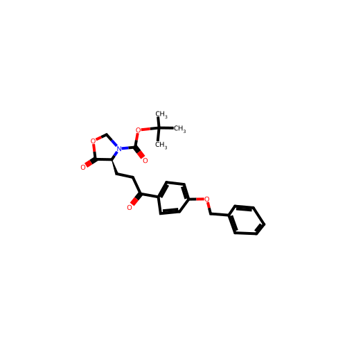 CC(C)(C)OC(=O)N1COC(=O)[C@@H]1CCC(=O)c1ccc(OCc2ccccc2)cc1